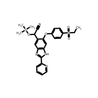 CCS(=O)(=O)c1ccc(Oc2cc3[nH]c(-c4ccccn4)nc3cc2C(C#N)O[Si](C)(C)C)cc1